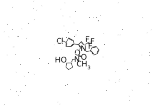 CN(CC1CCC[C@H]1O)C(=O)Oc1c(-c2ccc(Cl)cc2)cc(C(F)(F)F)n1Cc1ccccc1